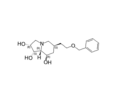 O[C@H]1[C@H]2[C@H](O)C[C@H](CCOCc3ccccc3)CN2C[C@H]1O